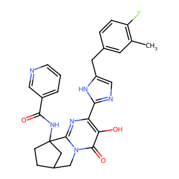 Cc1cc(Cc2cnc(-c3nc4n(c(=O)c3O)CC3CCC4(NC(=O)c4cccnc4)C3)[nH]2)ccc1F